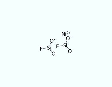 O=[Si]([O-])F.O=[Si]([O-])F.[Ni+2]